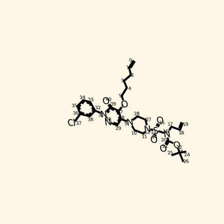 C=CCCCCOc1c(N2CCN(S(=O)(=O)N(CC=C)C(=O)OC(C)(C)C)CC2)cnn(-c2cccc(Cl)c2)c1=O